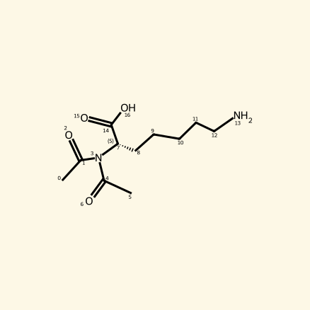 CC(=O)N(C(C)=O)[C@@H](CCCCCN)C(=O)O